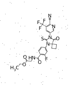 CCOC(=O)CNC(=O)c1ccc(N2C(=S)N(c3cnc(C#N)c(C(F)(F)F)c3)C(=O)C23CCC3)cc1F